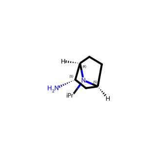 CC(C)N1[C@H]2CC[C@@H]1[C@@H](N)C2